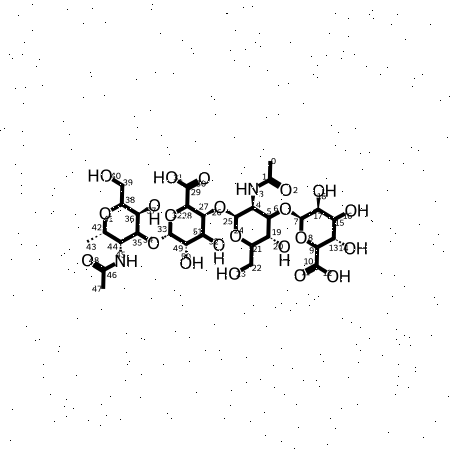 CC(=O)N[C@H]1C(O[C@@H]2OC(C(=O)O)[C@@H](O)C(O)[C@@H]2O)[C@H](O)C(CO)O[C@H]1O[C@@H]1C(C(=O)O)O[C@@H](OC2[C@H](O)C(CO)O[C@@H](C)[C@H]2NC(C)=O)[C@@H](O)C1O